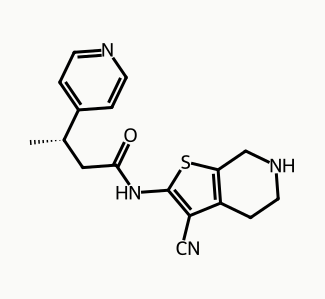 C[C@@H](CC(=O)Nc1sc2c(c1C#N)CCNC2)c1ccncc1